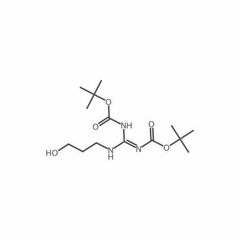 CC(C)(C)OC(=O)/N=C(/NCCCO)NC(=O)OC(C)(C)C